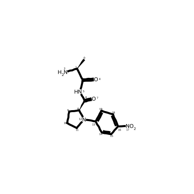 C[C@H](N)C(=O)NC(=O)[C@@H]1CCCN1c1ccc([N+](=O)[O-])cc1